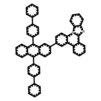 c1ccc(-c2ccc(-c3c4ccccc4c(-c4ccc(-c5ccccc5)cc4)c4cc(-c5ccc6c(c5)c5ccccc5c5nc7ccccc7n65)ccc34)cc2)cc1